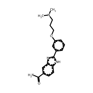 CN(C)CCCOc1cccc(-c2nc3cc(C(N)=O)ccc3[nH]2)c1